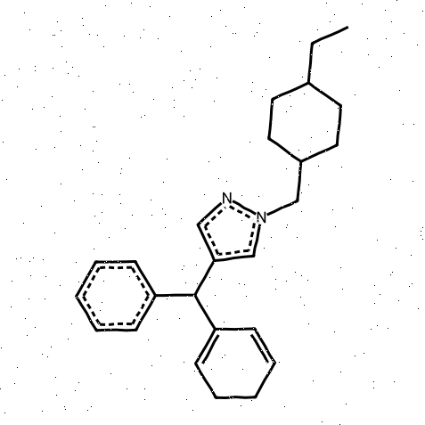 CCC1CCC(Cn2cc(C(C3=CCCC=C3)c3ccccc3)cn2)CC1